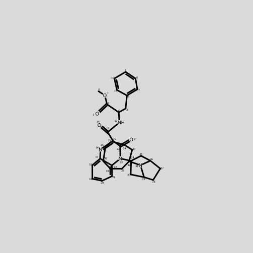 COC(=O)C(Cc1ccccc1)NC(=O)c1nc2ccccc2n(C2CC3CCC(C2)N3C2CCCCCCC2)c1=O